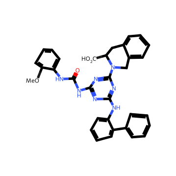 COc1ccccc1NC(=O)Nc1nc(Nc2ccccc2-c2ccccc2)nc(N2Cc3ccccc3CC2C(=O)O)n1